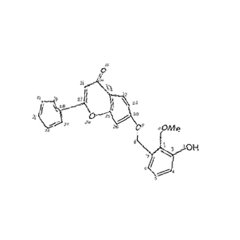 COc1c(O)cccc1COc1ccc2c(=O)cc(-c3ccccc3)oc2c1